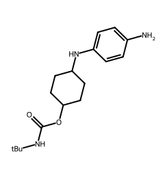 CC(C)(C)NC(=O)OC1CCC(Nc2ccc(N)cc2)CC1